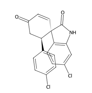 O=C1C=C[C@@]2(C(=O)Nc3cc(Cl)ccc32)[C@@H](c2ccc(Cl)cc2)C1